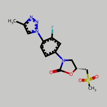 Cc1cn(-c2ccc(N3C[C@H](CS(C)(=O)=O)OC3=O)cc2F)nn1